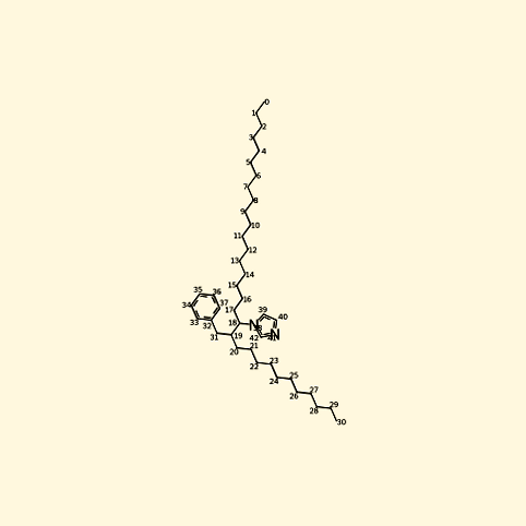 CCCCCCCCCCCCCCCCCCC(C(CCCCCCCCCCC)Cc1ccccc1)n1ccnc1